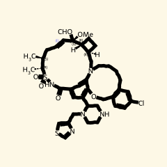 CO[C@]1(C=O)/C=C/C[C@H](C)[C@@H](C)S(=O)(=O)NC(=O)c2cc(C3CNCCN3Cc3cscn3)c3c(c2)N(CCCCc2cc(Cl)ccc2CO3)C[C@@H]2CC[C@H]21